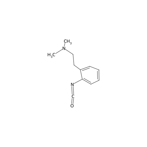 CN(C)CCc1ccccc1N=C=O